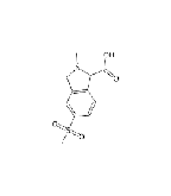 CN1Cc2cc(S(C)(=O)=O)ccc2C1C(=O)O